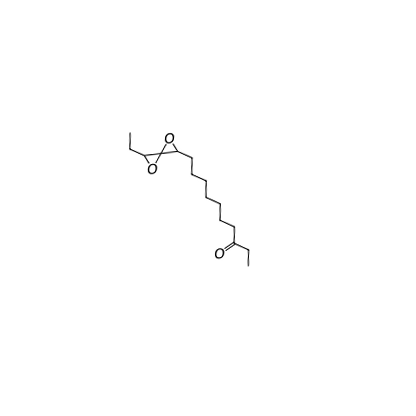 CCC(=O)CCCCCCCC1OC12OC2CC